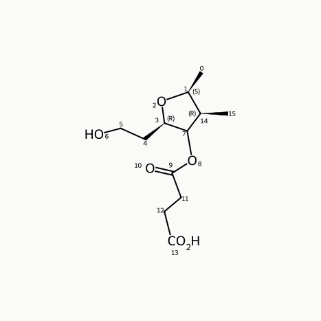 C[C@@H]1O[C@H](CCO)C(OC(=O)CCC(=O)O)[C@@H]1C